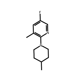 Cc1cc(F)cnc1N1CCC(C)CC1